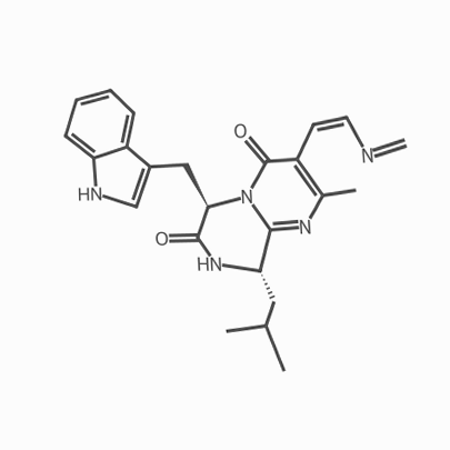 C=N/C=C\c1c(C)nc2n(c1=O)[C@H](Cc1c[nH]c3ccccc13)C(=O)N[C@H]2CC(C)C